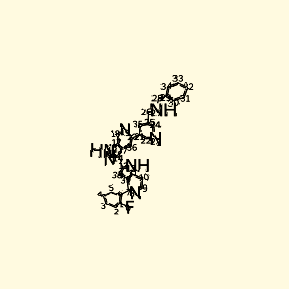 Fc1ccccc1-c1nccc2[nH]c(-c3n[nH]c4cnc(-c5cncc(CNCc6ccccc6)c5)cc34)cc12